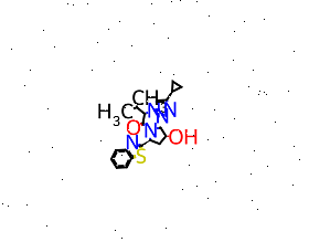 CC(C)C(C(=O)N1C[C@H](O)C[C@H]1c1nc2ccccc2s1)n1cc(C2CC2)nn1